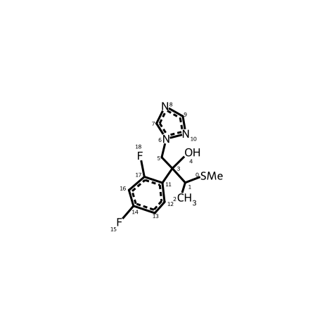 CSC(C)C(O)(Cn1cncn1)c1ccc(F)cc1F